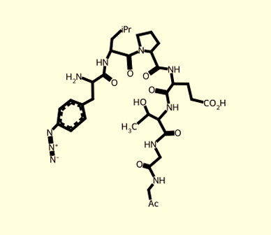 CC(=O)CNC(=O)CNC(=O)C(NC(=O)C(CCC(=O)O)NC(=O)C1CCCN1C(=O)C(CC(C)C)NC(=O)C(N)Cc1ccc(N=[N+]=[N-])cc1)C(C)O